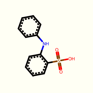 O=S(=O)(O)c1c[c]ccc1Nc1ccccc1